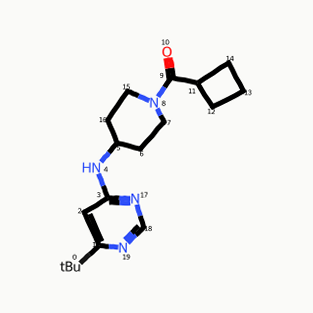 CC(C)(C)c1cc(NC2CCN(C(=O)C3CCC3)CC2)ncn1